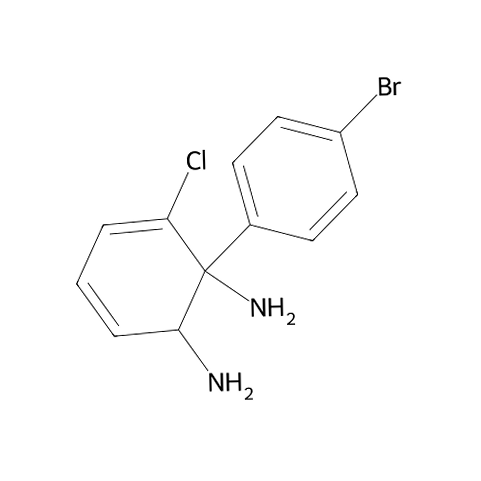 NC1C=CC=C(Cl)C1(N)c1ccc(Br)cc1